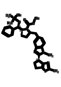 Cc1nc2c(s1)CC[C@@H]2c1nc2cc(CC3CC[C@H]([C@H](O[Si](C)(C)C(C)(C)C)c4ccccc4)N3C(=O)OC(C)(C)C)ccc2n1C